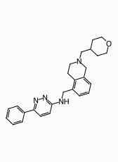 c1ccc(-c2ccc(NCc3cccc4c3CCN(CC3CCOCC3)C4)nn2)cc1